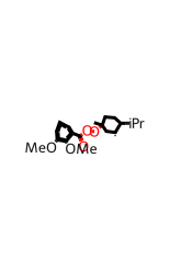 COc1cccc(C(=O)OOC2(C)C[CH]C(C(C)C)CC2)c1OC